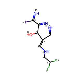 N=C/C(=C\NCC(F)F)C(O)C(=N)C(=N)I